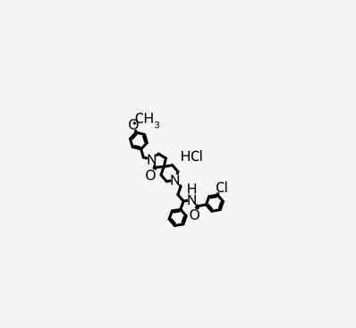 COc1ccc(CN2CCC3(CCN(CCC(NC(=O)c4cccc(Cl)c4)c4ccccc4)CC3)C2=O)cc1.Cl